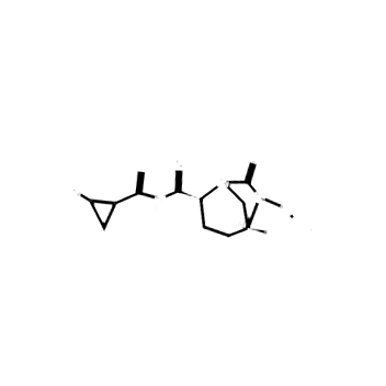 N=C(NC(=O)C1CC1N)[C@@H]1CC[C@@H]2CN1C(=O)N2OS(=O)(=O)O